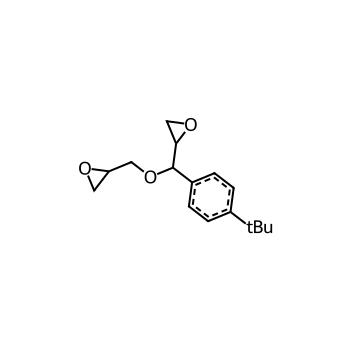 CC(C)(C)c1ccc(C(OCC2CO2)C2CO2)cc1